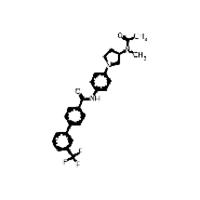 CC(=O)N(C)C1CCN(c2ccc(NC(=O)c3ccc(-c4cccc(C(F)(F)F)c4)cc3)cc2)C1